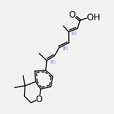 CC(/C=C/C=C(\C)c1ccc2c(c1)C(C)(C)CCO2)=C\C(=O)O